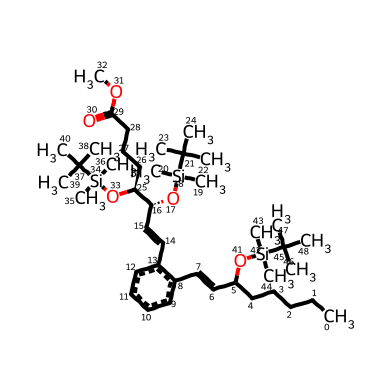 CCCCCC(C=Cc1ccccc1C=C[C@@H](O[Si](C)(C)C(C)(C)C)[C@H](CCCC(=O)OC)O[Si](C)(C)C(C)(C)C)O[Si](C)(C)C(C)(C)C